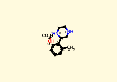 Cc1ccccc1C1CNCCN1.O=C(O)O